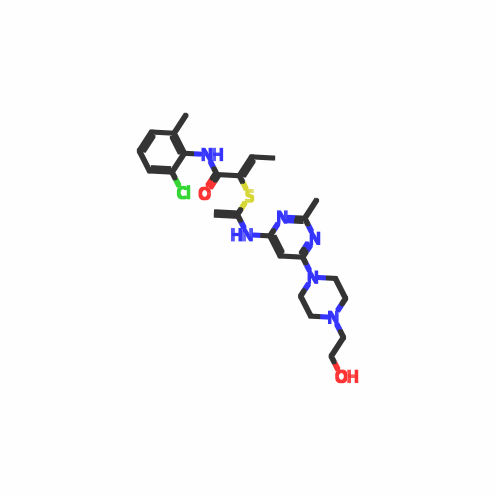 C=C(Nc1cc(N2CCN(CCO)CC2)nc(C)n1)S/C(=C\C)C(=O)Nc1c(C)cccc1Cl